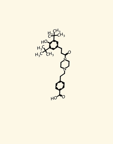 CC(C)(C)c1cc(CCC(=O)N2CCN(CCc3ccc(C(=O)O)cc3)CC2)cc(C(C)(C)C)c1O